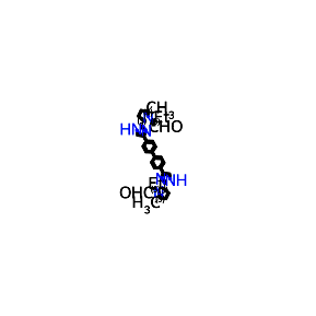 CC[C@@H]([C]=O)N1[C@@H](C)CC[C@H]1c1nc(-c2ccc(-c3ccc(-c4c[nH]c([C@@H]5CC[C@H](C)N5[C@H]([C]=O)CC)n4)cc3)cc2)c[nH]1